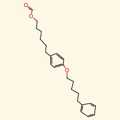 O=[C]OCCCCCCc1ccc(OCCCCCc2ccccc2)cc1